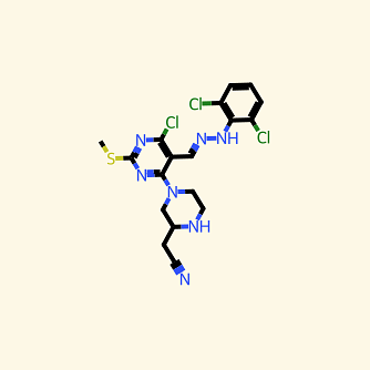 CSc1nc(Cl)c(/C=N/Nc2c(Cl)cccc2Cl)c(N2CCNC(CC#N)C2)n1